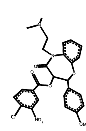 COc1ccc(C2Sc3ccccc3N(CCN(C)C)C(=O)C2OC(=O)c2ccc(Cl)c([N+](=O)[O-])c2)cc1